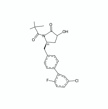 CC(C)(C)C(=O)N1C(=O)C(O)C[C@H]1Cc1ccc(-c2cc(Cl)ccc2F)cc1